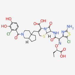 CC[C@@H](O/N=C(\C(=O)N[C@@H]1C(=O)N2C(C(=O)O)=C(CC34CCC[C@H]3CN(C(=O)c3ccc(O)c(O)c3Cl)CC4)CS[C@H]12)c1nc(N)sc1Cl)C(=O)O